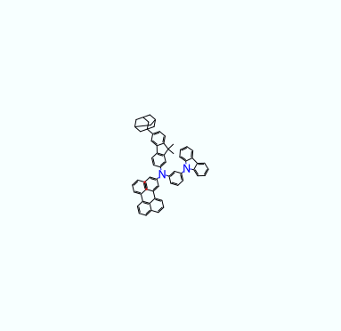 CC1(C)c2ccc(C34CC5CC(CC(C5)C3)C4)cc2-c2ccc(N(c3cccc(-c4cccc5cccc(-c6ccccc6)c45)c3)c3cccc(-n4c5ccccc5c5ccccc54)c3)cc21